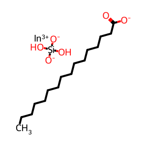 CCCCCCCCCCCCCCCC(=O)[O-].[In+3].[O-][Si]([O-])(O)O